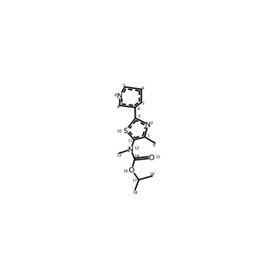 Cc1nc(-c2cccnc2)sc1N(C)C(=O)OC(C)C